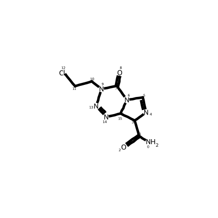 NC(=O)C1N=CN2C(=O)N(CCCl)N=NC12